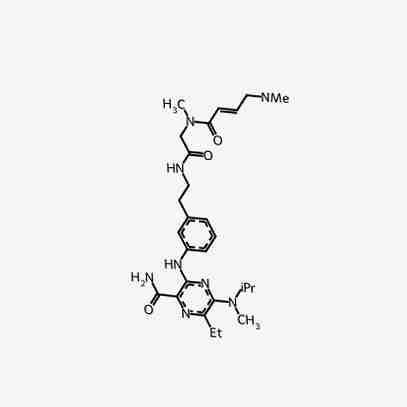 CCc1nc(C(N)=O)c(Nc2cccc(CCNC(=O)CN(C)C(=O)/C=C/CNC)c2)nc1N(C)C(C)C